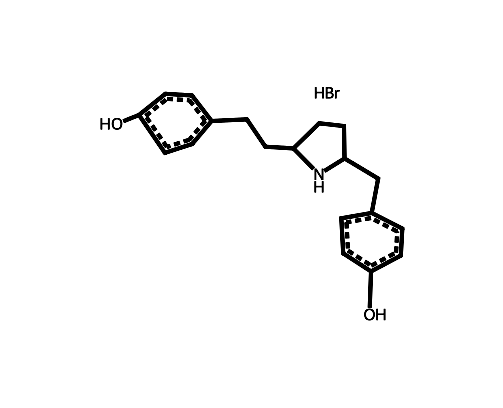 Br.Oc1ccc(CCC2CCC(Cc3ccc(O)cc3)N2)cc1